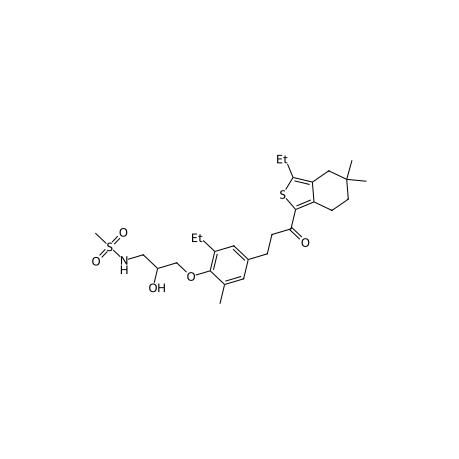 CCc1cc(CCC(=O)c2sc(CC)c3c2CCC(C)(C)C3)cc(C)c1OCC(O)CNS(C)(=O)=O